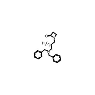 C[C@@H](CN(Cc1ccccc1)Cc1ccccc1)CN1CCC1=O